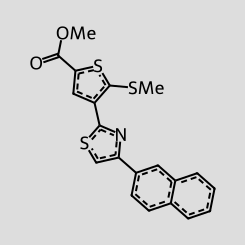 COC(=O)c1cc(-c2nc(-c3ccc4ccccc4c3)cs2)c(SC)s1